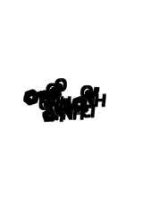 CCC(=O)Nc1ccc(C(=O)N[C@@H](C)C(=O)N2CCC[C@H]2C(=O)N[C@H]2CC(=O)OC2OCc2ccccc2)cc1Cl